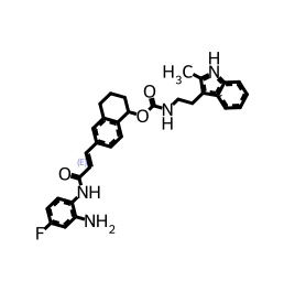 Cc1[nH]c2ccccc2c1CCNC(=O)OC1CCCc2cc(/C=C/C(=O)Nc3ccc(F)cc3N)ccc21